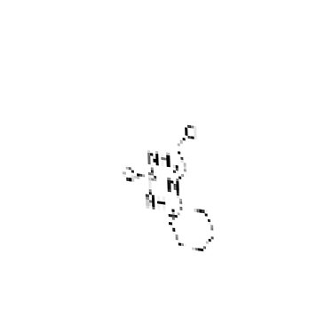 NP(N)(=O)N(CCCl)C1CCCCC1